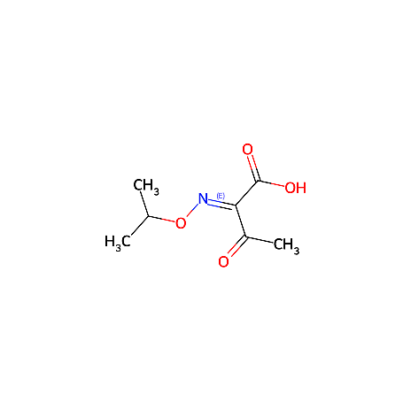 CC(=O)/C(=N\OC(C)C)C(=O)O